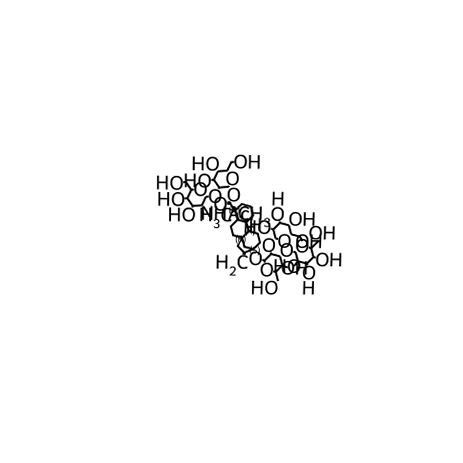 C=C1C[C@@]23CCC4C(C)(CCC[C@@]4(C)C(=O)OC4OC(CO)C(O)C(O)C4OC4OC(CO)C(O)C(O)C4NC(C)=O)[C@@H]2CC[C@]1(OC1OC(CO)C(O)C(OC2OC(CO)C(O)C(O)C2O)C1OC1OC(CO)C(O)C(O)C1O)C3